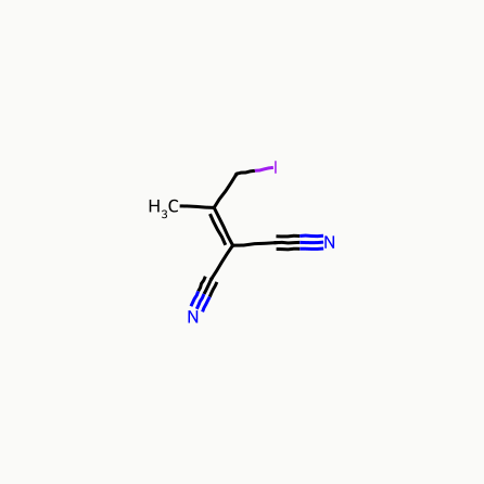 CC(CI)=C(C#N)C#N